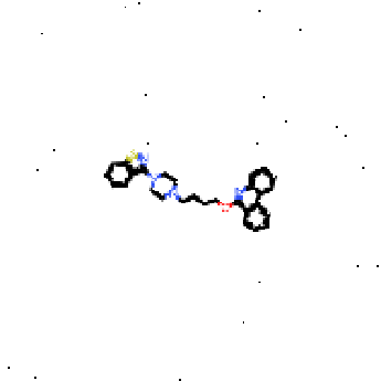 c1ccc2c(c1)nc(OCCCCN1CCN(c3nsc4ccccc34)CC1)c1ccccc12